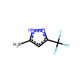 Bc1cc(C(F)(F)F)n[nH]1